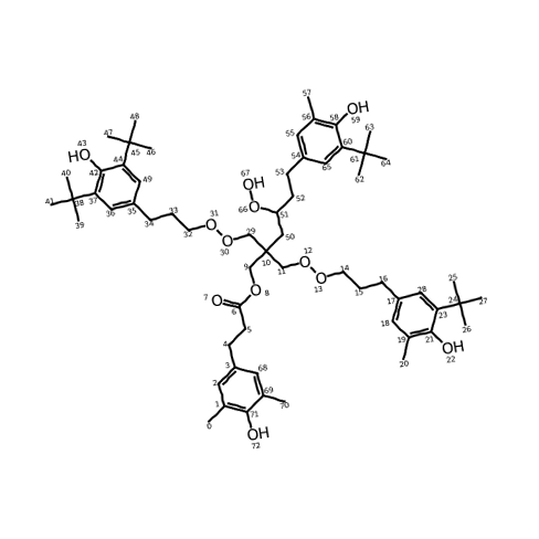 Cc1cc(CCC(=O)OCC(COOCCCc2cc(C)c(O)c(C(C)(C)C)c2)(COOCCCc2cc(C(C)(C)C)c(O)c(C(C)(C)C)c2)CC(CCc2cc(C)c(O)c(C(C)(C)C)c2)OO)cc(C)c1O